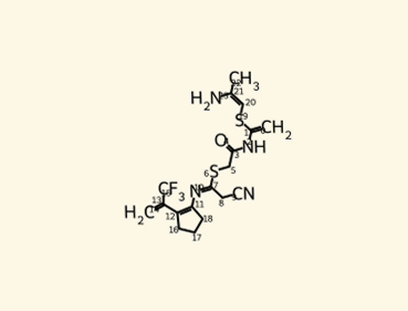 C=C(NC(=O)CS/C(CC#N)=N/C1=C(C(=C)C(F)(F)F)CCC1)S/C=C(/C)N